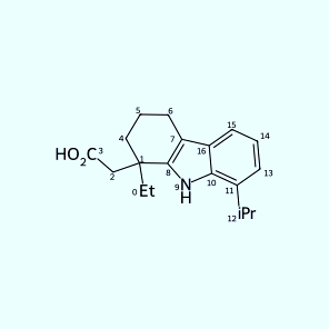 CCC1(CC(=O)O)CCCc2c1[nH]c1c(C(C)C)cccc21